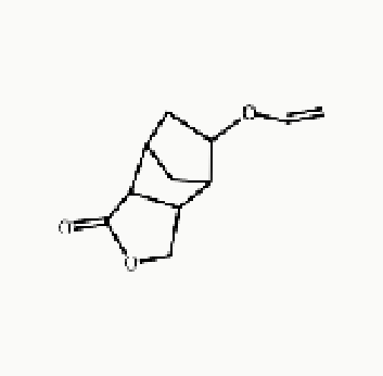 C=COC1CC2CC1C1COC(=O)C21